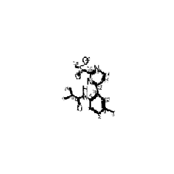 Cc1ccc(NC(=O)C(C)C)c(-c2ccnc(S(C)(=O)=O)n2)c1